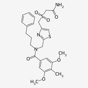 COc1cc(C(=O)N(CCCc2ccccc2)Cc2nc(CS(=O)(=O)CC(N)=O)cs2)cc(OC)c1C